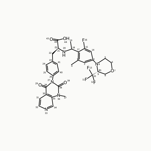 Cc1cc(N2CCOC[C@@H]2C(F)(F)F)cc(F)c1C(C)N[C@@H](Cc1ccc(-n2c(=O)c3ccncc3n(C)c2=O)cc1)C(=O)O